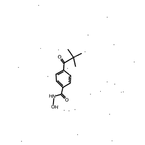 CC(C)(C)C(=O)c1ccc(C(=O)NO)cc1